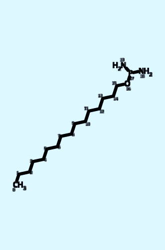 CCCCCCCCCCCCCCCCOP(N)N